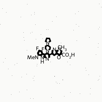 CNc1cc(F)c(F)c2c1[nH]c1ncc(-c3cnc4c(c3)c(=O)c(C(=O)O)cn4C)c(N3CCC(N4CCCC4)CC3)c12